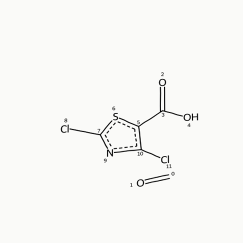 C=O.O=C(O)c1sc(Cl)nc1Cl